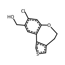 OCc1cc2c(cc1Cl)OCCc1cscc1-2